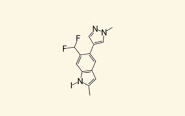 Cc1cc2cc(-c3cnn(C)c3)c(C(F)F)cc2n1I